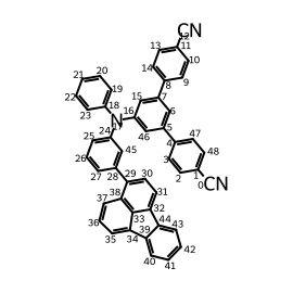 N#Cc1ccc(-c2cc(-c3ccc(C#N)cc3)cc(N(c3ccccc3)c3cccc(-c4ccc5c6c(cccc46)-c4ccccc4-5)c3)c2)cc1